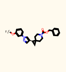 O=C(OCc1ccccc1)N1CCC2(CC1)C[C@H]2c1cnn(-c2cccc(OC(F)(F)F)c2)c1